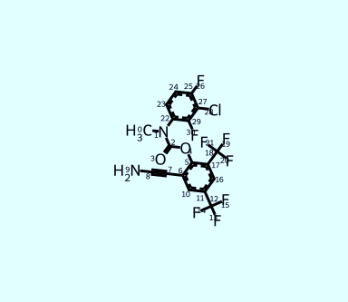 CN(C(=O)Oc1c(C#CN)cc(C(F)(F)F)cc1C(F)(F)F)c1ccc(F)c(Cl)c1F